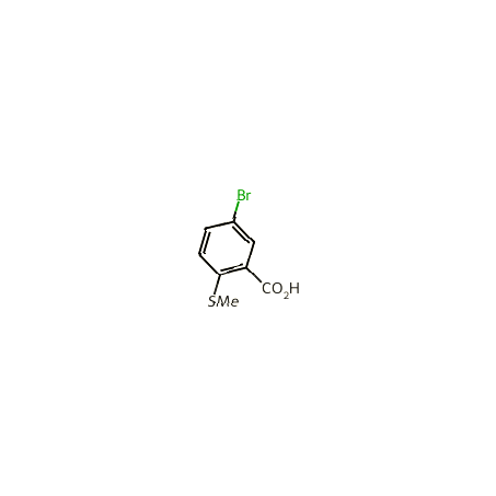 CSc1ccc(Br)cc1C(=O)O